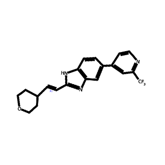 FC(F)(F)c1cc(-c2ccc3[nH]c(/C=C/C4CCOCC4)nc3c2)ccn1